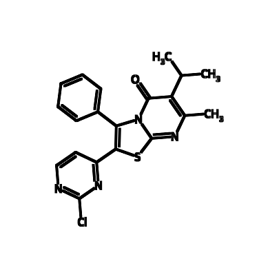 Cc1nc2sc(-c3ccnc(Cl)n3)c(-c3ccccc3)n2c(=O)c1C(C)C